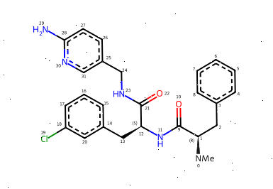 CN[C@H](Cc1ccccc1)C(=O)N[C@@H](Cc1cccc(Cl)c1)C(=O)NCc1ccc(N)nc1